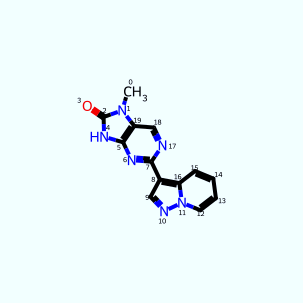 Cn1c(=O)[nH]c2nc(-c3cnn4ccccc34)ncc21